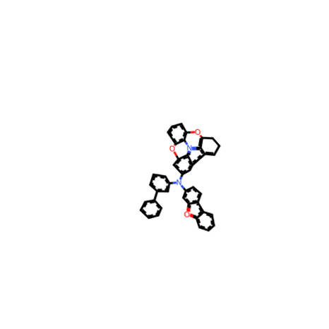 C1=c2c3n4c5c(cc(N(c6cccc(-c7ccccc7)c6)c6ccc7c(c6)oc6ccccc67)cc25)Oc2cccc(c2-4)OC=3CC1